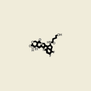 CC[C@@]1(O)C(=O)OCc2c1cc1n(c2=O)Cc2c-1nc1cc(F)c(F)c3c1c2C(NC(=O)CCCO)C3